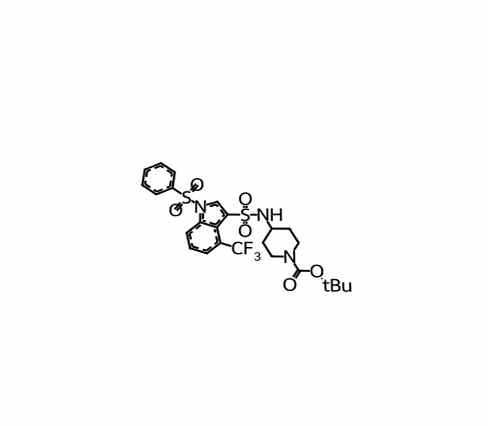 CC(C)(C)OC(=O)N1CCC(NS(=O)(=O)c2cn(S(=O)(=O)c3ccccc3)c3cccc(C(F)(F)F)c23)CC1